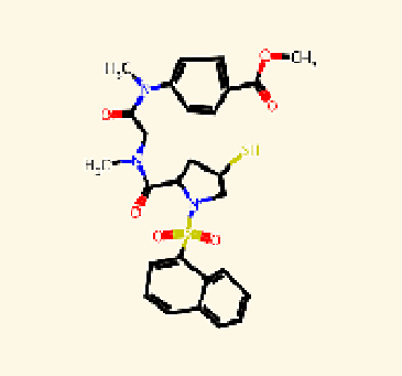 COC(=O)c1ccc(N(C)C(=O)CN(C)C(=O)C2CC(S)CN2S(=O)(=O)c2cccc3ccccc23)cc1